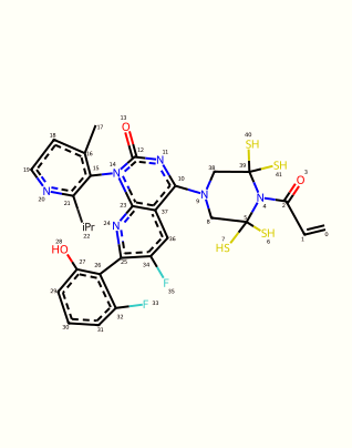 C=CC(=O)N1C(S)(S)CN(c2nc(=O)n(-c3c(C)ccnc3C(C)C)c3nc(-c4c(O)cccc4F)c(F)cc23)CC1(S)S